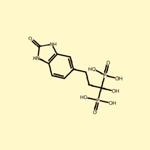 O=c1[nH]c2ccc(CCC(O)(P(=O)(O)O)P(=O)(O)O)cc2[nH]1